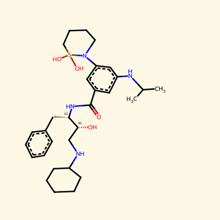 CC(C)Nc1cc(C(=O)N[C@@H](Cc2ccccc2)[C@H](O)CNC2CCCCC2)cc(N2CCCCS2(O)O)c1